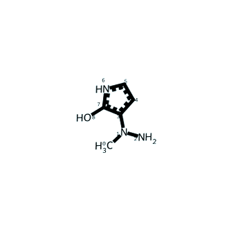 CN(N)c1cc[nH]c1O